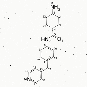 NC1CCC(C(=O)Nc2ccc(Cc3ccncc3)cc2)CC1